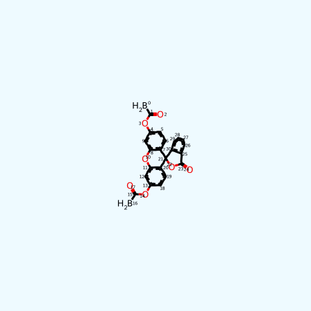 BC(=O)Oc1ccc2c(c1)Oc1cc(OC(B)=O)ccc1C21OC(=O)c2ccccc21